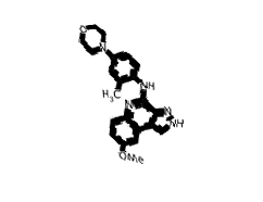 COc1ccc2nc(Nc3ccc(N4CCOCC4)cc3C)c3n[nH]cc3c2c1